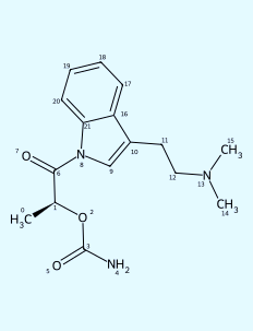 C[C@H](OC(N)=O)C(=O)n1cc(CCN(C)C)c2ccccc21